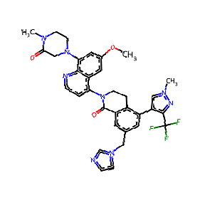 COc1cc(N2CCN(C)C(=O)C2)c2nccc(N3CCc4c(cc(Cn5ccnc5)cc4-c4cn(C)nc4C(F)(F)F)C3=O)c2c1